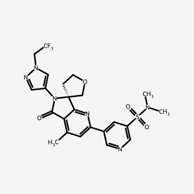 Cc1cc(-c2cncc(S(=O)(=O)N(C)C)c2)nc2c1C(=O)N(c1cnn(CC(F)(F)F)c1)[C@]21CCOC1